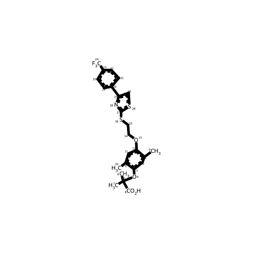 Cc1cc(OC(C)(C)C(=O)O)c(C)cc1OCCSc1nc(-c2ccc(C(F)(F)F)cc2)cs1